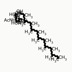 CC(=O)NC1C(OP(=O)(O)OP(=O)(O)OCC=C(C)CCC=C(C)CCC=C(C)CCC=C(C)CCC=C(C)CCC=C(C)CCC=C(C)CCC=C(C)CCC=C(C)CCC=C(C)CCC=C(C)C)OC(CO)C(O)C1O